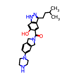 CC(C)CCc1n[nH]c2cc(O)c(C(=O)N3Cc4ccc(N5CCNCC5)cc4C3)cc12